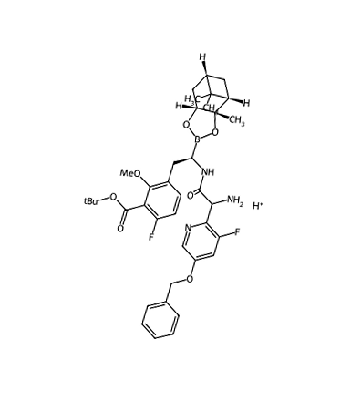 COc1c(C[C@H](NC(=O)C(N)c2ncc(OCc3ccccc3)cc2F)B2O[C@@H]3C[C@@H]4C[C@@H](C4(C)C)[C@]3(C)O2)ccc(F)c1C(=O)OC(C)(C)C.[H+]